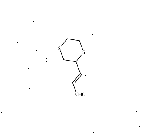 O=CC=CC1CSCCS1